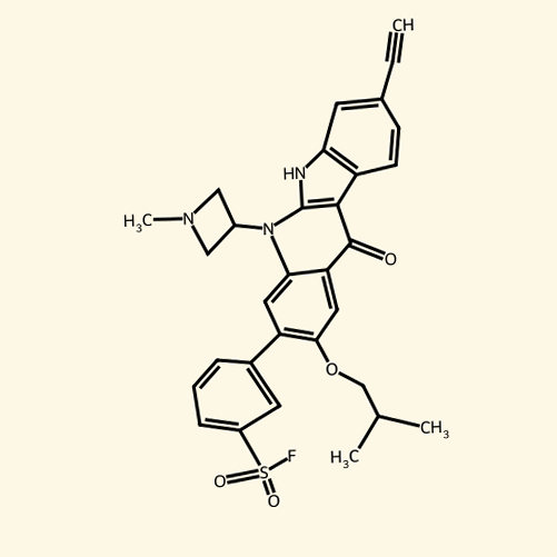 C#Cc1ccc2c(c1)[nH]c1c2c(=O)c2cc(OCC(C)C)c(-c3cccc(S(=O)(=O)F)c3)cc2n1C1CN(C)C1